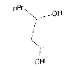 CCCC(O)C[CH]O